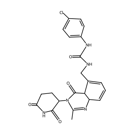 CC1=NC2C=CC=C(CNC(=O)Nc3ccc(Cl)cc3)C2C(=O)N1C1CCC(=O)NC1=O